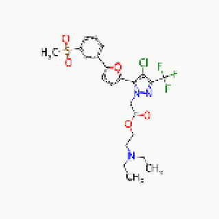 CCN(CC)CCOC(=O)Cn1nc(C(F)(F)F)c(Cl)c1-c1ccc(-c2cccc(S(C)(=O)=O)c2)o1